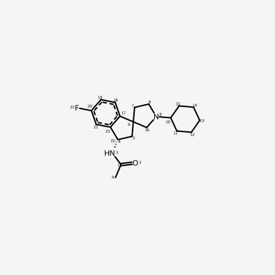 CC(=O)N[C@H]1CC2(CCN(C3CCCCC3)C2)c2ccc(F)cc21